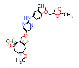 CO/C1=C(F)/C(COc2cnc(Nc3ccc(OCC4COC(C)O4)c(C)c3)nc2)=C(/F)C/C(OC)=C\C1